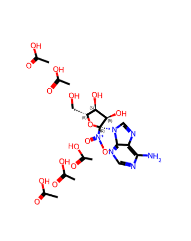 CC(=O)O.CC(=O)O.CC(=O)O.CC(=O)O.CC(=O)O.Nc1ncnc2c1ncn2[C@]1([N+](=O)[O-])O[C@H](CO)[C@@H](O)[C@H]1O